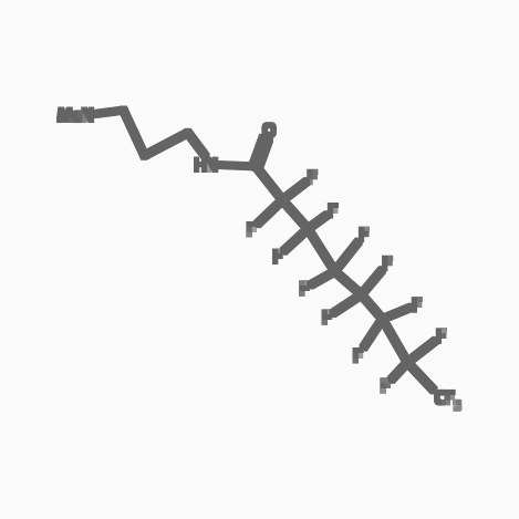 CNCCCNC(=O)C(F)(F)C(F)(F)C(F)(F)C(F)(F)C(F)(F)C(F)(F)C(F)(F)F